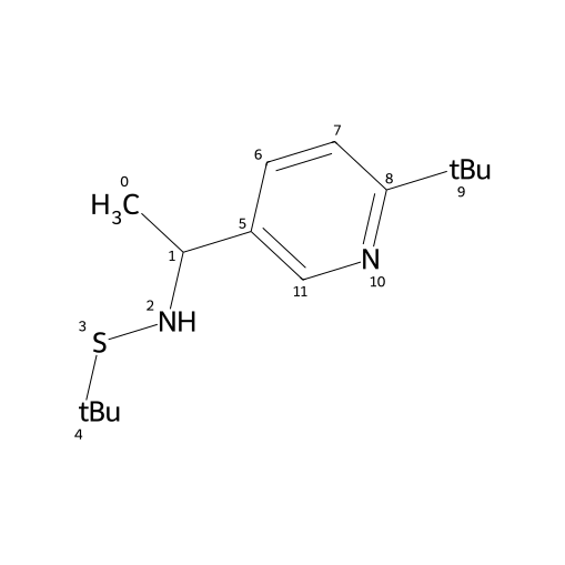 CC(NSC(C)(C)C)c1ccc(C(C)(C)C)nc1